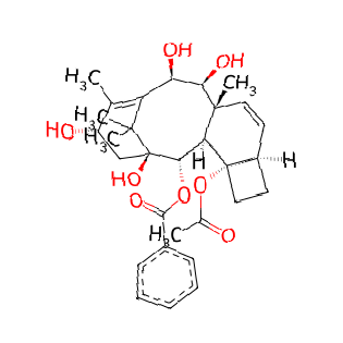 CC(=O)O[C@@]12CC[C@@H]1C=C[C@@]1(C)[C@H](O)[C@H](O)C3=C(C)[C@@H](O)C[C@@](O)([C@@H](OC(=O)c4ccccc4)[C@@H]12)C3(C)C